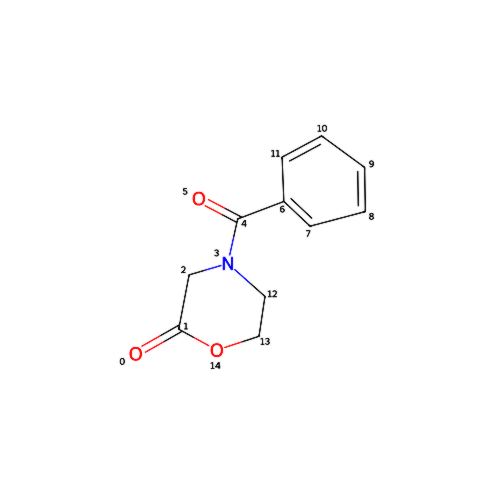 O=C1CN(C(=O)c2ccccc2)CCO1